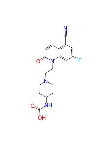 N#Cc1cc(F)cc2c1ccc(=O)n2CCN1CCC(NC(=O)O)CC1